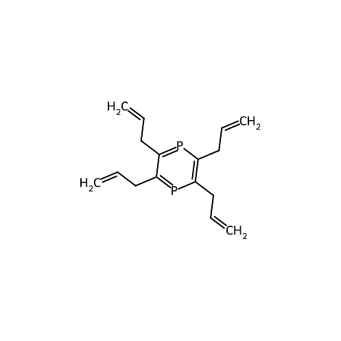 C=CCc1pc(CC=C)c(CC=C)pc1CC=C